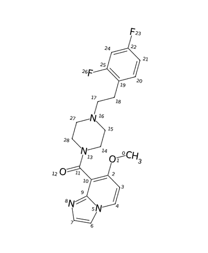 COc1ccn2ccnc2c1C(=O)N1CCN(CCc2ccc(F)cc2F)CC1